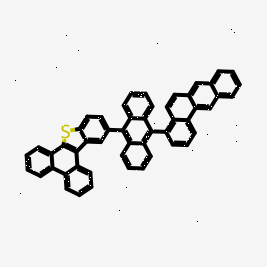 c1ccc2cc3c(ccc4c(-c5c6ccccc6c(-c6ccc7sc8c9ccccc9c9ccccc9c8c7c6)c6ccccc56)cccc43)cc2c1